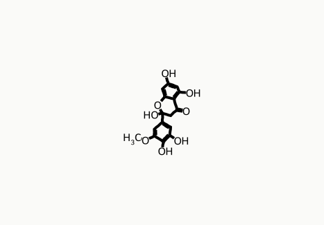 COc1cc(C2(O)CC(=O)c3c(O)cc(O)cc3O2)cc(O)c1O